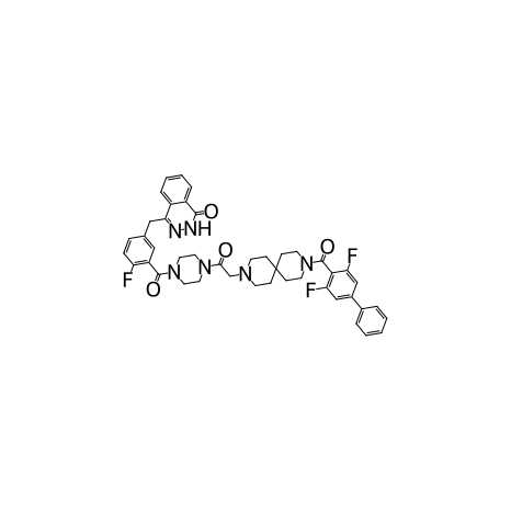 O=C(CN1CCC2(CC1)CCN(C(=O)c1c(F)cc(-c3ccccc3)cc1F)CC2)N1CCN(C(=O)c2cc(Cc3n[nH]c(=O)c4ccccc34)ccc2F)CC1